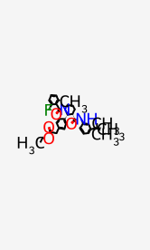 CCOC(=O)Cc1ccc([C@H]2[C@@H](C(=O)Nc3cccc(C(C)(C)C)c3)CCCN2C(=O)c2c(C)cccc2F)cc1